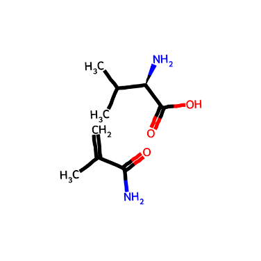 C=C(C)C(N)=O.CC(C)[C@@H](N)C(=O)O